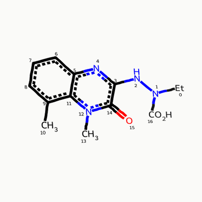 CCN(Nc1nc2cccc(C)c2n(C)c1=O)C(=O)O